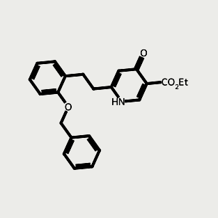 CCOC(=O)c1c[nH]c(CCc2ccccc2OCc2ccccc2)cc1=O